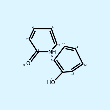 O=c1cccc[nH]1.Oc1ccccc1